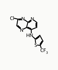 FC(F)(F)c1ccc(Nc2ccnc3nc(Cl)cnc23)s1